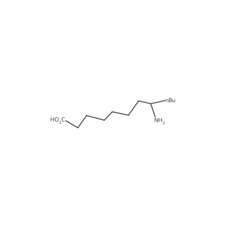 CCCCC(N)CCCCCCC(=O)O